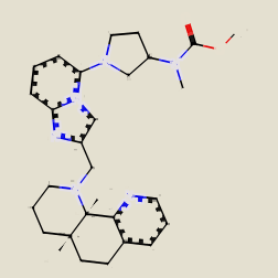 CN(C(=O)OC(C)(C)C)C1CCN(c2cccc3nc(CN4CCC[C@H]5CCc6cccnc6[C@H]54)cn23)C1